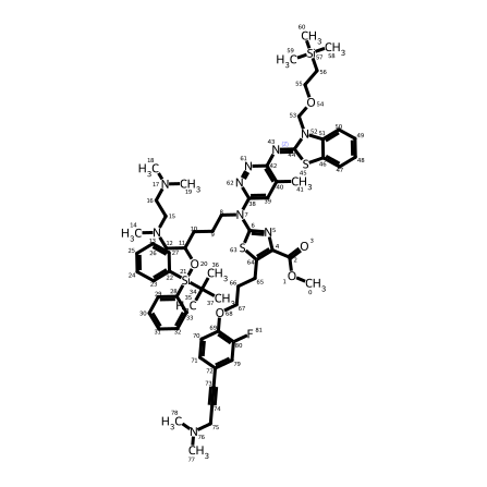 COC(=O)c1nc(N(CCCC(CN(C)CCN(C)C)O[Si](c2ccccc2)(c2ccccc2)C(C)(C)C)c2cc(C)c(/N=c3\sc4ccccc4n3COCC[Si](C)(C)C)nn2)sc1CCCOc1ccc(C#CCN(C)C)cc1F